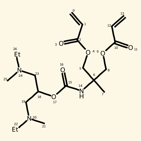 C=CC(=O)OCC(C)(COC(=O)C=C)NC(=O)OC(CN(C)CC)CN(C)CC